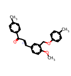 COc1ccc(/C=C/C(=O)c2ccc(C)cc2)cc1COc1ccc(C)cc1